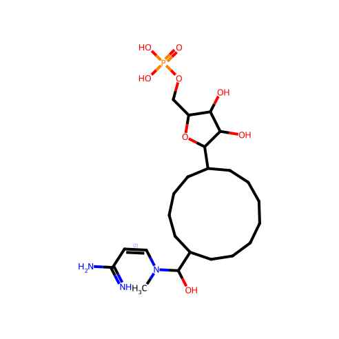 CN(/C=C\C(=N)N)C(O)C1CCCCCCCC(C2OC(COP(=O)(O)O)C(O)C2O)CCCC1